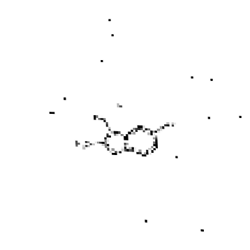 Cc1cc2ccc(C(C)C)cc2[s+]1C(F)(F)F.[Br-]